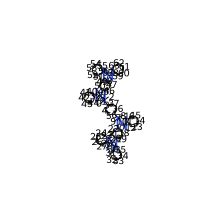 CC(C)(c1ccc(C(C)(C)N(c2ccccc2)c2ccc3c(c2)c2ccccc2n3-c2ccccc2)cc1)N(c1ccccc1)c1ccc2c(c1)c1ccccc1n2-c1ccccc1